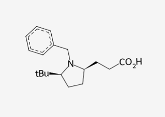 CC(C)(C)[C@@H]1CC[C@H](CCC(=O)O)N1Cc1ccccc1